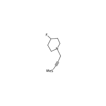 CSC#CCN1CCC(F)CC1